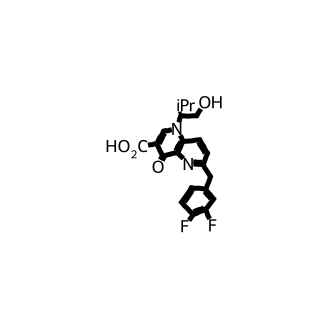 CC(C)[C@@H](CO)n1cc(C(=O)O)c(=O)c2nc(Cc3ccc(F)c(F)c3)ccc21